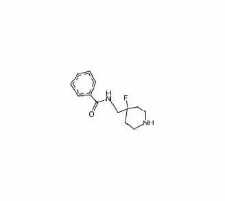 O=C(NCC1(F)CCNCC1)c1ccccc1